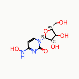 O=c1nc(NO)ccn1[C@@H]1O[C@H](CO)C(O)[C@@H]1O